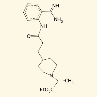 CCOC(=O)C(C)N1CCC(CCC(=O)Nc2ccccc2C(=N)N)CC1